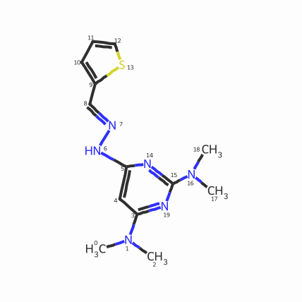 CN(C)c1cc(NN=Cc2cccs2)nc(N(C)C)n1